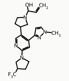 C=CC(O)N1CCC(c2cnc(N3CCC(C(F)(F)F)C3)cc2-c2ccn(C)n2)C1